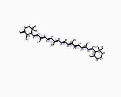 C=C1CCC(C)(C)C(/C=C/C(C)=C/C=C/C(C)=C/C=C/C=C(C)/C=C/C=C(C)/C=C/C2C(C)CCCC2(C)C)C1C